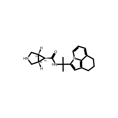 CC(C)(NC(=O)[C@H]1[C@@H]2CNC[C@@H]21)c1cc2c3c(cccn13)CCC2